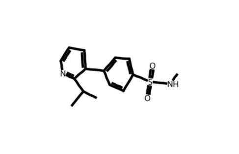 CNS(=O)(=O)c1ccc(-c2cccnc2C(C)C)cc1